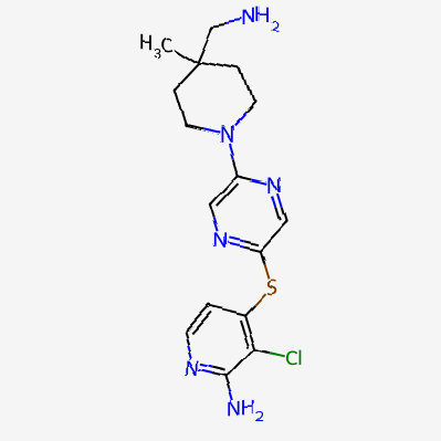 CC1(CN)CCN(c2cnc(Sc3ccnc(N)c3Cl)cn2)CC1